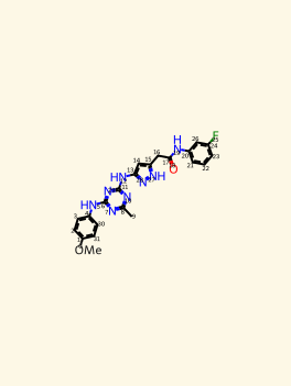 COc1ccc(Nc2nc(C)nc(Nc3cc(CC(=O)Nc4cccc(F)c4)[nH]n3)n2)cc1